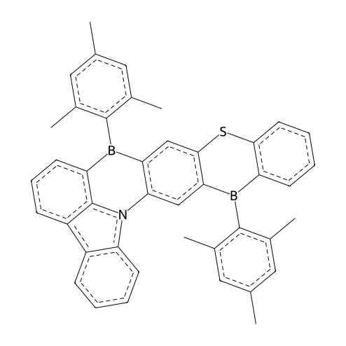 Cc1cc(C)c(B2c3ccccc3Sc3cc4c(cc32)-n2c3ccccc3c3cccc(c32)B4c2c(C)cc(C)cc2C)c(C)c1